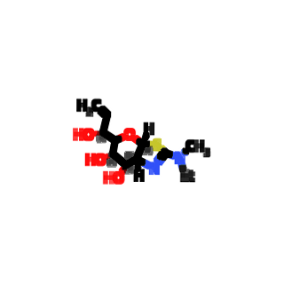 C=C[C@@H](O)C1O[C@@H]2SC(N(C)CC)=N[C@@H]2[C@@H](O)[C@@H]1O